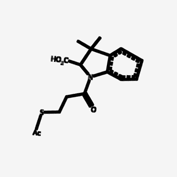 CC(=O)SCCC(=O)N1c2ccccc2C(C)(C)C1C(=O)O